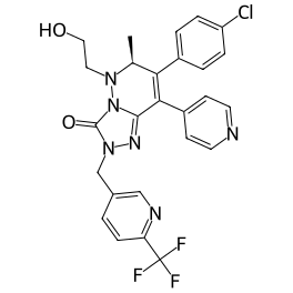 C[C@H]1C(c2ccc(Cl)cc2)=C(c2ccncc2)c2nn(Cc3ccc(C(F)(F)F)nc3)c(=O)n2N1CCO